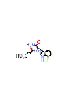 NC(=O)[C@H](Cc1c[nH]c2c(F)cccc12)NC(=O)CCC(=O)O